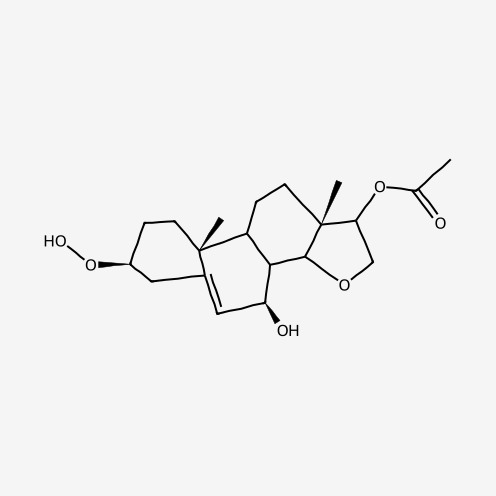 CC(=O)OC1COC2C3C(CC[C@]12C)[C@@]1(C)CC[C@H](OO)CC1=C[C@@H]3O